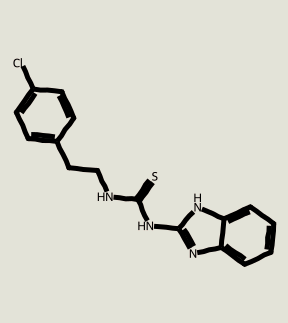 S=C(NCCc1ccc(Cl)cc1)Nc1nc2ccccc2[nH]1